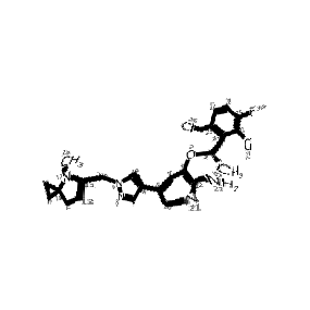 C[C@@H](Oc1cc(-c2cnn(CC3CCC4(CC4)N3C)c2)cnc1N)c1c(Cl)ccc(F)c1Cl